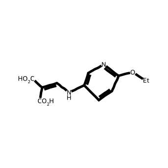 CCOc1ccc(NC=C(C(=O)O)C(=O)O)cn1